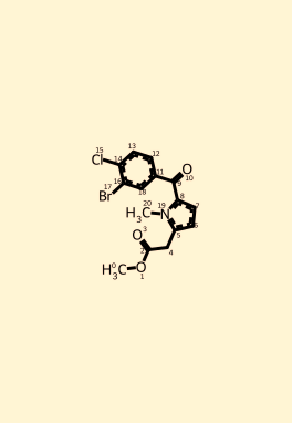 COC(=O)Cc1ccc(C(=O)c2ccc(Cl)c(Br)c2)n1C